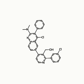 CN(C)c1nc2ccc(-c3ccnc(-c4cccc(Cl)c4)c3CO)cc2c(Cl)c1-c1ccccc1